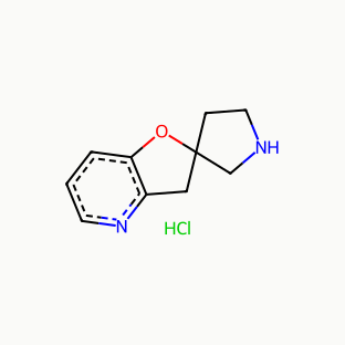 Cl.c1cnc2c(c1)OC1(CCNC1)C2